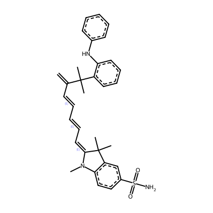 C=C(/C=C/C=C/C=C1/N(C)c2ccc(S(N)(=O)=O)cc2C1(C)C)C(C)(C)c1ccccc1Nc1ccccc1